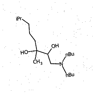 CCCCN(CCCC)CC(O)C(C)(O)CCCC(C)C